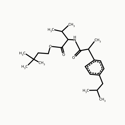 CC(C)Cc1ccc(C(C)C(=O)NC(C(=O)OCCC(C)(C)C)C(C)C)cc1